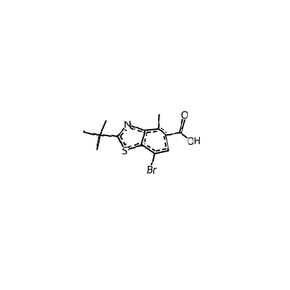 Cc1c(C(=O)O)cc(Br)c2sc(C(C)(C)C)nc12